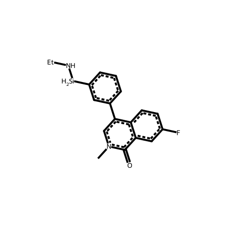 CCN[SiH2]c1cccc(-c2cn(C)c(=O)c3cc(F)ccc23)c1